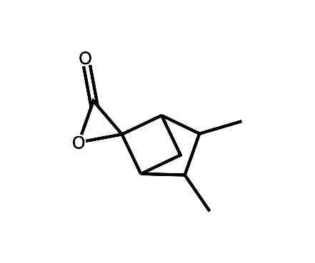 CC1C(C)C2CC1C21OC1=O